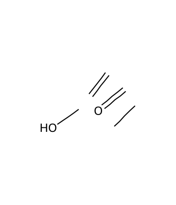 C=C.C=O.CC.CO